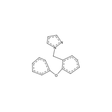 [c]1ccc(Oc2ccccc2)c(Cn2cccn2)c1